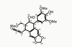 COC[C@@H]1C(N=[N+]=[N-])c2cc3c(cc2C(c2cc(OC)c(O)c(OC)c2)C1C=O)OCO3